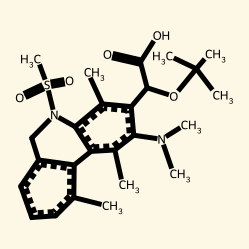 Cc1cccc2c1-c1c(C)c(N(C)C)c(C(OC(C)(C)C)C(=O)O)c(C)c1N(S(C)(=O)=O)C2